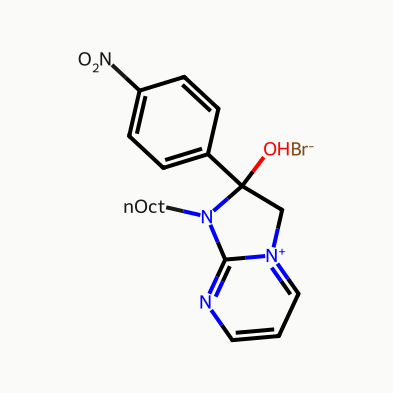 CCCCCCCCN1c2nccc[n+]2CC1(O)c1ccc([N+](=O)[O-])cc1.[Br-]